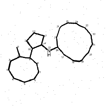 CC1CCCCCCCC1C1CCCC1NC1CCCCCCCCCCC1